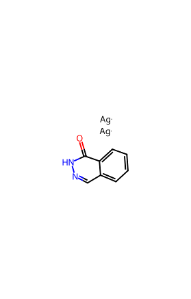 O=c1[nH]ncc2ccccc12.[Ag].[Ag]